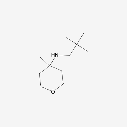 CC(C)(C)CNC1(C)CCOCC1